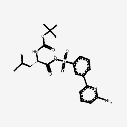 CC(C)C[C@H](NC(=O)OC(C)(C)C)C(=O)NS(=O)(=O)c1cccc(-c2cccc(N)n2)c1